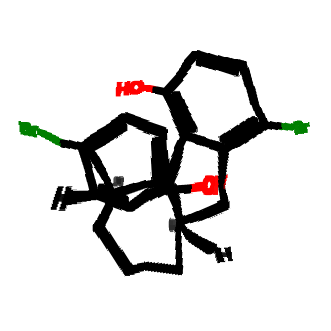 Oc1ccc(Br)c2c1C13c4c(O)ccc(Br)c4C[C@@H]1CCC[C@H]3C2